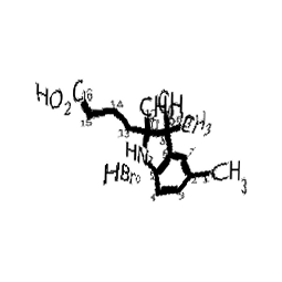 Br.Cc1ccc2c(c1)C(C)(C)C(C)(CCCC(=O)O)N2